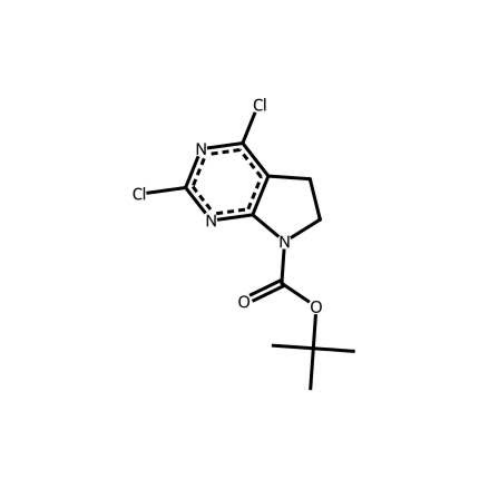 CC(C)(C)OC(=O)N1CCc2c(Cl)nc(Cl)nc21